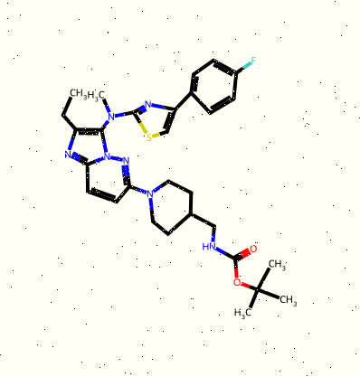 CCc1nc2ccc(N3CCC(CNC(=O)OC(C)(C)C)CC3)nn2c1N(C)c1nc(-c2ccc(F)cc2)cs1